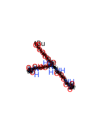 CC(C)(C)OC(=O)CCOCCOCCOCCOCCNC(=O)[C@H](CCCCNC(=O)CCOCCOCCNC(=O)CCN1C(=O)C=CC1=O)NC(=O)CCOCCOCCNC(O)CCN1C(=O)C=CC1=O